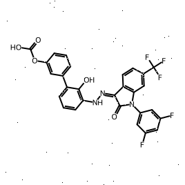 O=C(O)Oc1cccc(-c2cccc(NN=C3C(=O)N(c4cc(F)cc(F)c4)c4cc(C(F)(F)F)ccc43)c2O)c1